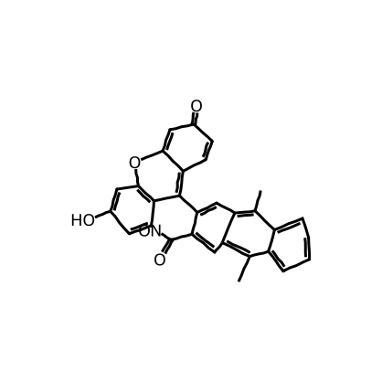 Cc1c2ccccc2c(C)c2cc(-c3c4ccc(=O)cc-4oc4cc(O)ccc34)c(C(=O)N=O)cc12